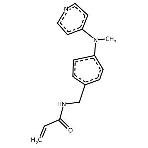 C=CC(=O)NCc1ccc(N(C)c2ccncc2)cc1